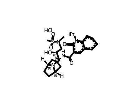 CC(C)n1c(=O)c(C(=O)N[C@H]2C[C@H]3CC[C@@H](C2)N3C[C@@H](O)CN(C)S(C)(=O)=O)cc2ccccc21.Cl